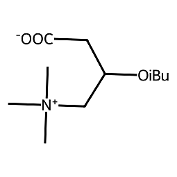 CC(C)COC(CC(=O)[O-])C[N+](C)(C)C